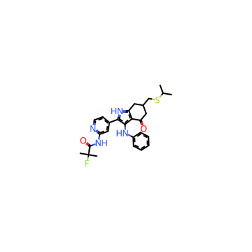 CC(C)SCC1CC(=O)c2c([nH]c(-c3ccnc(NC(=O)C(C)(C)F)c3)c2Nc2ccccc2)C1